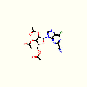 CC(=O)OCC1OC(n2cnc3c(Cl)nc(C#N)nc32)C(OC(C)=O)C1OC(C)=O